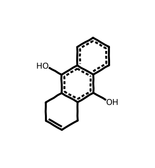 Oc1c2c(c(O)c3ccccc13)CC=CC2